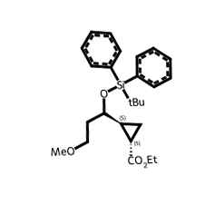 CCOC(=O)[C@H]1C[C@@H]1C(CCOC)O[Si](c1ccccc1)(c1ccccc1)C(C)(C)C